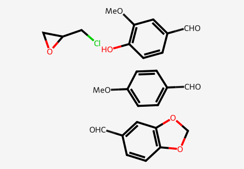 COc1cc(C=O)ccc1O.COc1ccc(C=O)cc1.ClCC1CO1.O=Cc1ccc2c(c1)OCO2